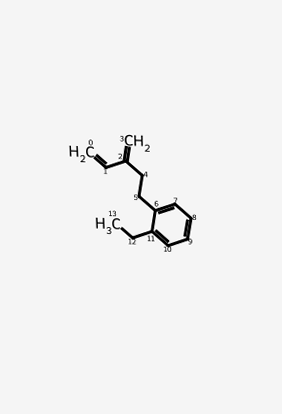 C=CC(=C)CCc1ccccc1CC